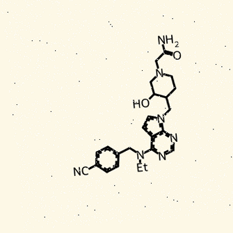 CCN(Cc1ccc(C#N)cc1)c1ncnc2c1ccn2CC1CCN(CC(N)=O)CC1O